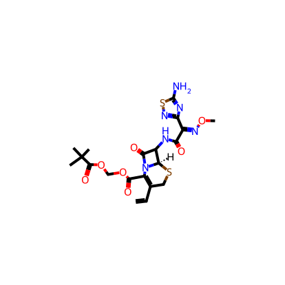 C=CC1=C(C(=O)OCOC(=O)C(C)(C)C)N2C(=O)C(NC(=O)/C(=N/OC)c3nsc(N)n3)[C@H]2SC1